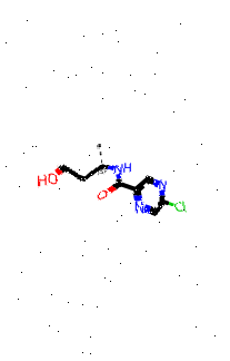 C[C@@H](CCO)NC(=O)c1cnc(Cl)cn1